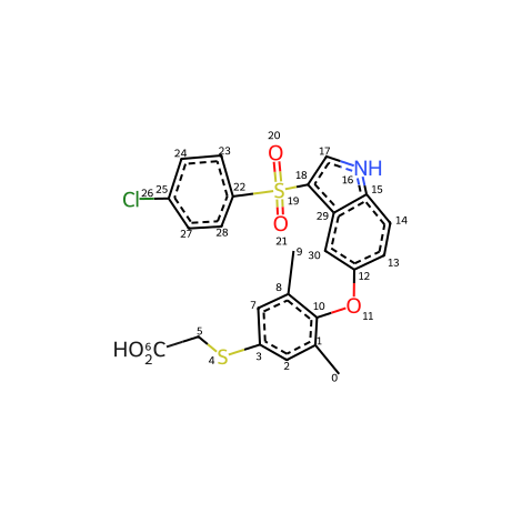 Cc1cc(SCC(=O)O)cc(C)c1Oc1ccc2[nH]cc(S(=O)(=O)c3ccc(Cl)cc3)c2c1